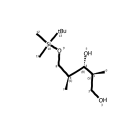 C[C@@H](CO)[C@@H](O)[C@@H](C)CO[Si](C)(C)C(C)(C)C